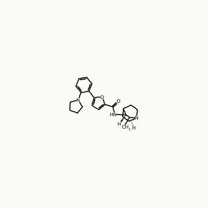 C[C@H]1[C@H](NC(=O)c2ccc(-c3ccccc3N3CCCC3)o2)C2CCN1CC2